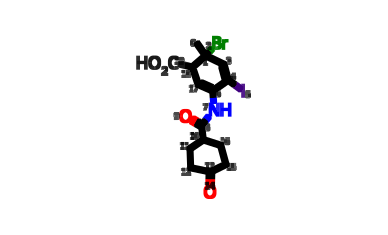 CC1(Br)C=C(I)C(NC(=O)C2CCC(=O)CC2)=CC1C(=O)O